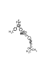 Cc1ccc(-c2cc(C(F)(F)F)nn2-c2ccc(S(=O)(=O)NC(=O)OCC3CCN(N=NOCOC(=O)C(C)C)CC3)cc2)cc1